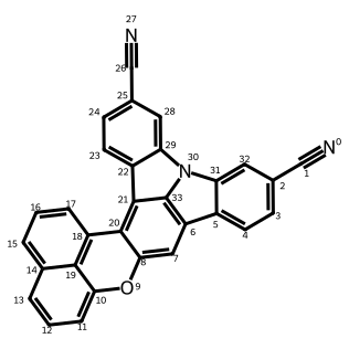 N#Cc1ccc2c3cc4oc5cccc6cccc(c65)c4c4c5ccc(C#N)cc5n(c2c1)c34